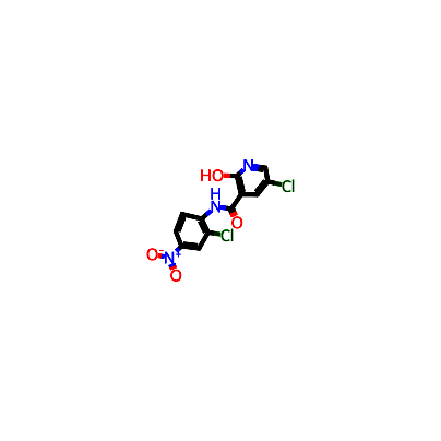 O=C(Nc1ccc([N+](=O)[O-])cc1Cl)c1cc(Cl)cnc1O